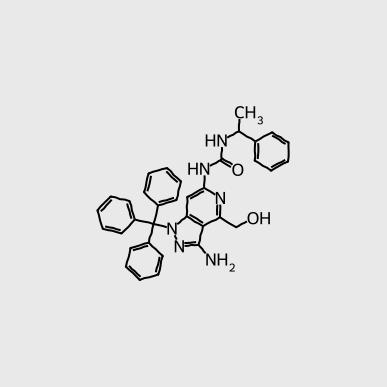 CC(NC(=O)Nc1cc2c(c(N)nn2C(c2ccccc2)(c2ccccc2)c2ccccc2)c(CO)n1)c1ccccc1